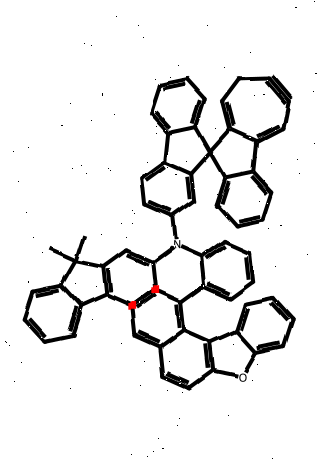 CC1(C)C2=C(CCC(N(c3ccc4c(c3)C3(C5=CCC#CC=C5c5ccccc53)c3ccccc3-4)c3ccccc3-c3cccc4ccc5oc6ccccc6c5c34)=C2)c2ccccc21